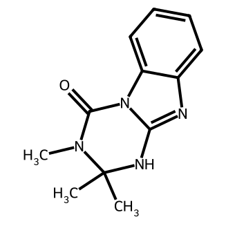 CN1C(=O)n2c(nc3ccccc32)NC1(C)C